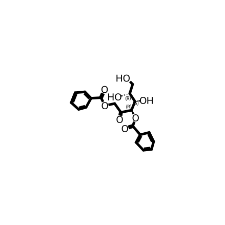 O=C(OCC(=O)[C@H](OC(=O)c1ccccc1)[C@@H](O)[C@H](O)CO)c1ccccc1